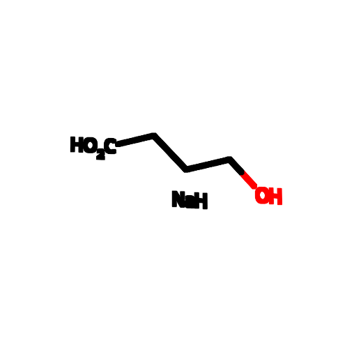 O=C(O)CCCO.[NaH]